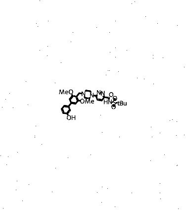 COc1cc(-c2cccc(O)c2)cc(OC)c1CN1CCN(c2ccc(C(=O)NS(=O)(=O)C(C)(C)C)nn2)CC1